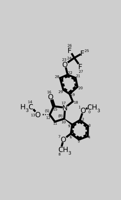 COc1cccc(OC)c1[C@H]1C[C@H](OC)C(=O)N1Cc1ccc(OC(F)(F)F)cc1